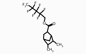 CC1C2CC(C(=O)OCC(F)(F)C(F)(F)C(F)(F)C(F)(F)F)C(C2)C1C